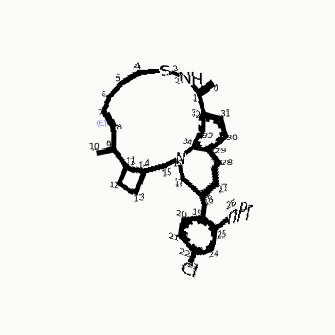 C=C1NSCCC/C=C/C(C)C2CCC2CN2CC(c3ccc(Cl)cc3CCC)CCc3ccc1cc32